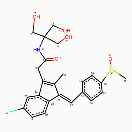 CC1=C(CC(=O)NC(CO)(CO)CO)c2cc(F)ccc2C1=Cc1ccc([S+](C)[O-])cc1